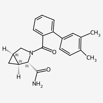 Cc1ccc(-c2ccccc2C(=O)N2C[C@@H]3C[C@@H]3[C@H]2C(N)=O)cc1C